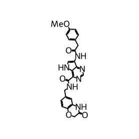 COc1ccc(CC(=O)Nc2c[nH]c3c(C(=O)NCc4ccc5c(c4)NC(=O)CO5)ncnc23)cc1